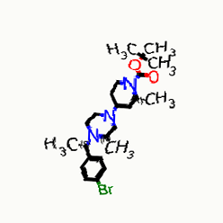 C[C@@H]1CC(N2CCN([C@@H](C)c3ccc(Br)cc3)[C@H](C)C2)CCN1C(=O)OC(C)(C)C